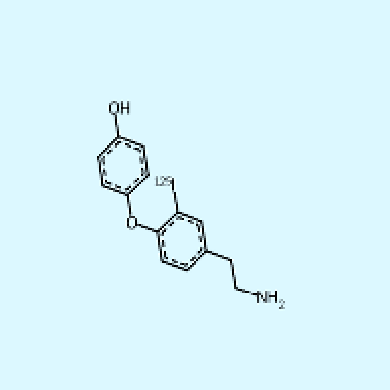 NCCc1ccc(Oc2ccc(O)cc2)c([125I])c1